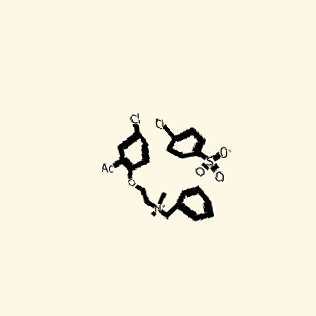 CC(=O)c1cc(Cl)ccc1OCC[N+](C)(C)Cc1ccccc1.O=S(=O)([O-])c1ccc(Cl)cc1